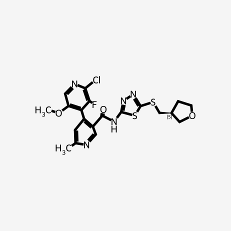 COc1cnc(Cl)c(F)c1-c1cc(C)ncc1C(=O)Nc1nnc(SC[C@H]2CCOC2)s1